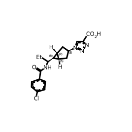 CCC(NC(=O)c1ccc(Cl)cc1)[C@H]1[C@@H]2C[C@@H](n3cc(C(=O)O)nn3)C[C@@H]21